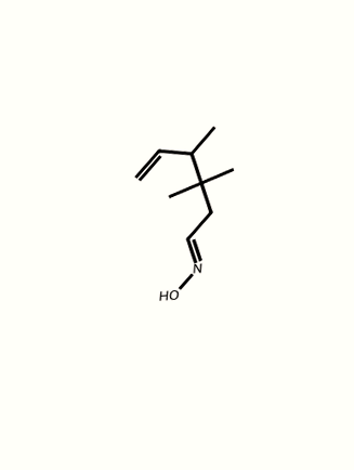 C=CC(C)C(C)(C)CC=NO